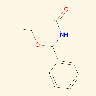 CCOC(N[C]=O)c1ccccc1